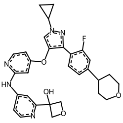 OC1(c2cc(Nc3cc(Oc4cn(C5CC5)nc4-c4ccc(C5CCOCC5)cc4F)ccn3)ccn2)COC1